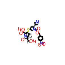 C[C@@H](O)[C@H]1C(=O)N2C(C(=O)O)=C(S[C@H]3C[C@@H](C4CN(C)C4)N(C(=O)OCc4ccc([N+](=O)[O-])cc4)C3)[C@H](C)[C@H]12